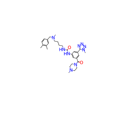 Cc1ccc(CN(C)CCCCNC(=O)Nc2cc(C(=O)N3CCN(C)CC3)cc(-c3nnnn3C)c2)cc1C